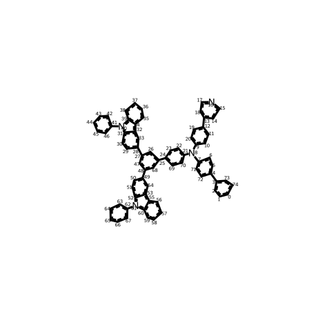 c1ccc(-c2ccc(N(c3ccc(-c4ccncc4)cc3)c3ccc(-c4cc(-c5ccc6c(c5)c5ccccc5n6-c5ccccc5)cc(-c5ccc6c(c5)c5ccccc5n6-c5ccccc5)c4)cc3)cc2)cc1